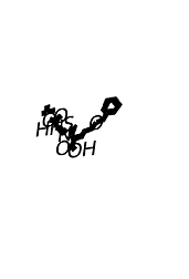 CC(C)(C)OC(=O)Nc1nc(/C(=C\CCOCc2ccccc2)C(=O)O)cs1